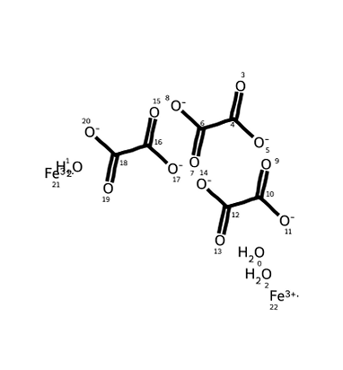 O.O.O.O=C([O-])C(=O)[O-].O=C([O-])C(=O)[O-].O=C([O-])C(=O)[O-].[Fe+3].[Fe+3]